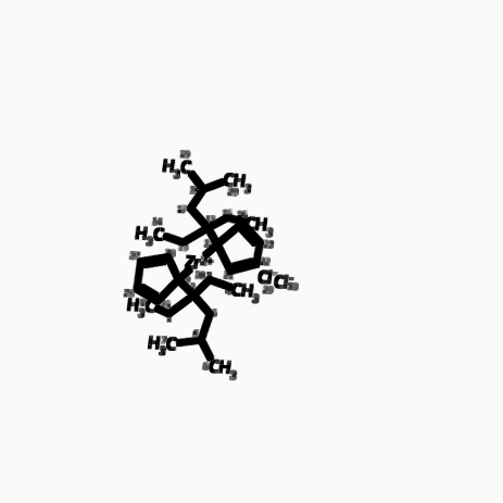 CCC(CC)(CC(C)C)[C]1([Zr+2][C]2(C(CC)(CC)CC(C)C)C=CC=C2)C=CC=C1.[Cl-].[Cl-]